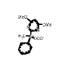 COc1cc(OC)nc([N+](C)(C(=O)[O-])c2ccccc2)n1